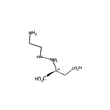 NCCNN[C@@H](CC(=O)O)C(=O)O